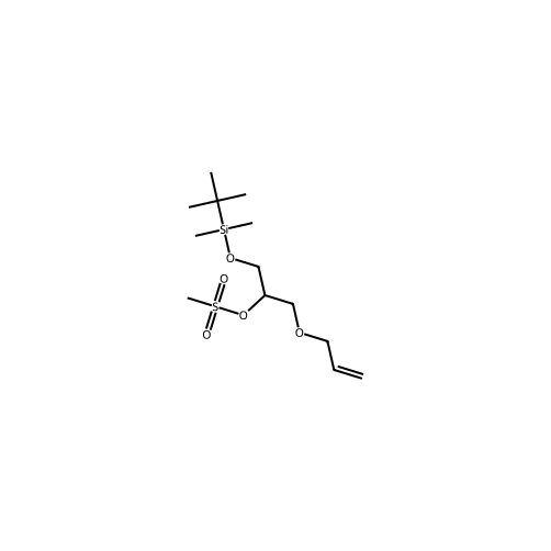 C=CCOCC(CO[Si](C)(C)C(C)(C)C)OS(C)(=O)=O